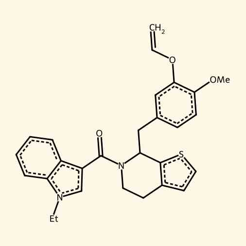 C=COc1cc(CC2c3sccc3CCN2C(=O)c2cn(CC)c3ccccc23)ccc1OC